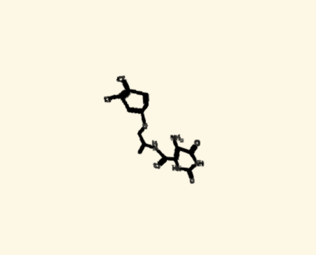 CC(COc1ccc(Cl)c(Cl)c1)NC(=O)c1[nH]c(=O)[nH]c(=O)c1N